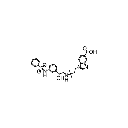 CC(C)(CCn1cnc2cc(C(=O)O)ccc21)NCC(O)c1cccc(NS(=O)(=O)c2ccccc2)c1